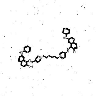 Oc1ccc2ccc(Nc3ccccc3)cc2c1N=Nc1cc[n+](CCCCCC[n+]2ccc(/N=N/c3c(O)ccc4ccc(Nc5ccccc5)cc34)cc2)cc1